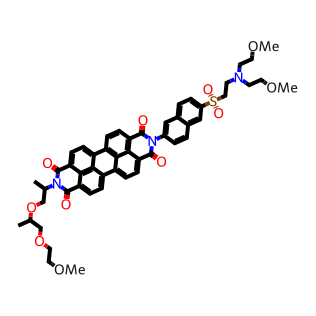 COCCOCC(C)OCC(C)N1C(=O)c2ccc3c4ccc5c6c(ccc(c7ccc(c2c37)C1=O)c64)C(=O)N(c1ccc2cc(S(=O)(=O)CCN(CCOC)CCOC)ccc2c1)C5=O